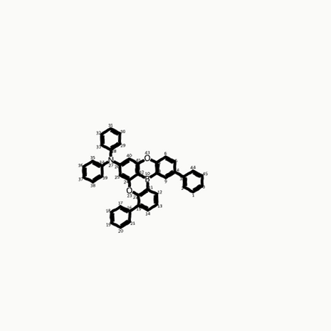 c1ccc(-c2ccc3c(c2)B2c4cccc(-c5ccccc5)c4Oc4cc(N(c5ccccc5)c5ccccc5)cc(c42)O3)cc1